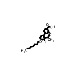 CCCCCCCCOc1ccc(-c2ccc(C(=O)O)cc2)c(C(C)C#N)c1F